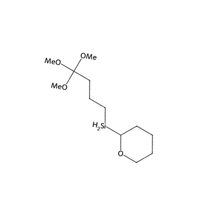 COC(CCC[SiH2]C1CCCCO1)(OC)OC